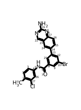 Cc1ccc(NC(=O)c2cc(Br)cc(-c3ccc4nc(N)ncc4c3)c2)cc1Cl